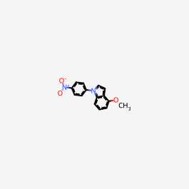 COc1cccc2c1ccn2-c1ccc([N+](=O)[O-])cc1